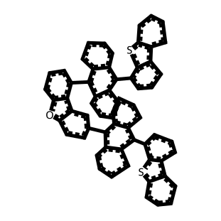 c1cc(-c2c3ccccc3c(-c3cccc4c3sc3ccccc34)c3ccccc23)c2c(c1)oc1ccc(-c3c4ccccc4c(-c4cccc5c4sc4ccccc45)c4ccccc34)cc12